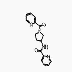 O=C(NC1CCN(C(=O)c2ccccn2)C1)c1ccccn1